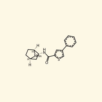 O=C(N[C@@H]1C[C@H]2CC[C@@H]1N2)c1cc(-c2ccccc2)cs1